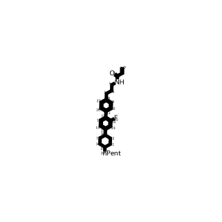 C=CC(=O)NCCCc1ccc(-c2ccc(C3CCC(CCCCC)CC3)cc2F)cc1